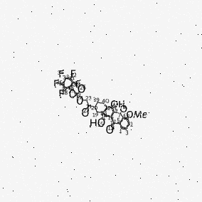 COc1cccc2c1C(=O)c1c(O)c3c(c(O)c1C2=O)C[C@@H](C(=O)COC(=O)Oc1c(F)c(F)c(F)c(F)c1F)CC3